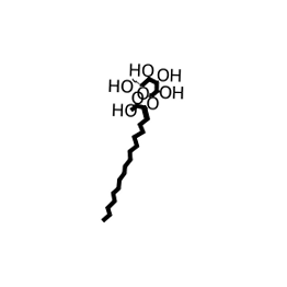 CCCCCCCCCCCCCCCC=C(OC1O[C@H](CO)[C@@H](O)[C@H](O)[C@H]1O)C(=O)O